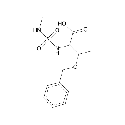 CNS(=O)(=O)NC(C(=O)O)C(C)OCc1ccccc1